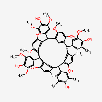 COc1cc(O)c2cc1C(c1cc(OC)c(O)c(OC)c1)c1cc(c(OC)cc1O)C(c1cc(OC)c(O)c(OC)c1)c1cc(c(C)cc1O)C(c1cc(C)c(O)c(C)c1)c1cc(c(C)cc1O)C2c1cc(C)c(O)c(OC)c1